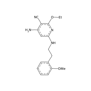 CCOc1nc(NCCc2ccccc2OC)cc(N)c1C#N